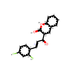 O=C(/C=C/c1ccc(F)cc1F)c1cc2ccccc2oc1=O